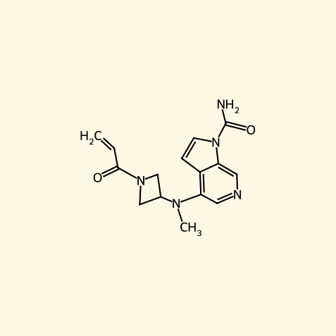 C=CC(=O)N1CC(N(C)c2cncc3c2ccn3C(N)=O)C1